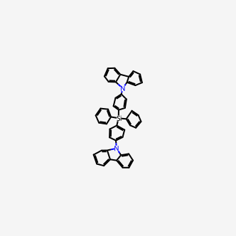 c1ccc([Si](c2ccccc2)(c2ccc(-n3c4ccccc4c4ccccc43)cc2)c2ccc(-n3c4ccccc4c4ccccc43)cc2)cc1